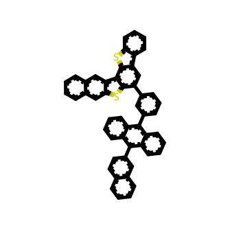 c1cc(-c2c3ccccc3c(-c3ccc4ccccc4c3)c3ccccc23)cc(-c2cc3c4ccccc4sc3c3c2sc2cc4ccccc4cc23)c1